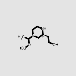 CC(OC(C)(C)C)N1CCN[C@@H](CCO)C1